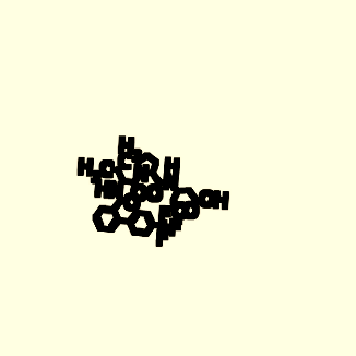 CC(C)C(NC(=O)c1ccccc1-c1ccc(C(F)(F)F)cc1)C(=O)N1CCC[C@H]1C(=O)NC(C=O)CC(=O)O